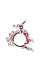 COCCOC1CC2CCC(C)C(O)(O2)C(=O)C(=O)N2CCCCC2C(=O)OC(C(C)C[C@@H]2CC[C@@H](OCCCI)[C@H](OC)C2)CC(=O)C(C)C=C(C)C(O)C(OC)C(=O)C(C)CC(C)C=CC=CC=C1C